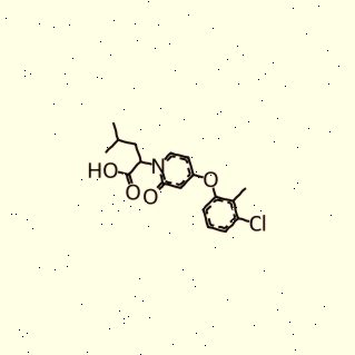 Cc1c(Cl)cccc1Oc1ccn(C(CC(C)C)C(=O)O)c(=O)c1